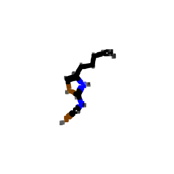 CCCCc1csc(N=C=S)n1